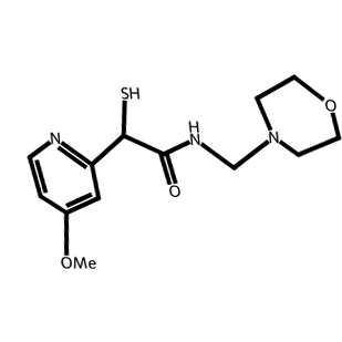 COc1ccnc(C(S)C(=O)NCN2CCOCC2)c1